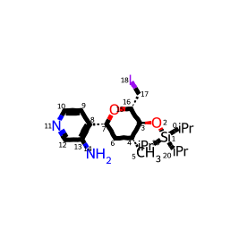 CC(C)[Si](O[C@H]1[C@H](C)C[C@H](c2ccncc2N)O[C@@H]1CI)(C(C)C)C(C)C